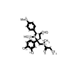 COc1ccc(CN(C(=O)O)[C@](CCC=O)(CN(C)C(=O)CC(F)(F)F)c2ccc(Cl)c(Cl)c2)cc1